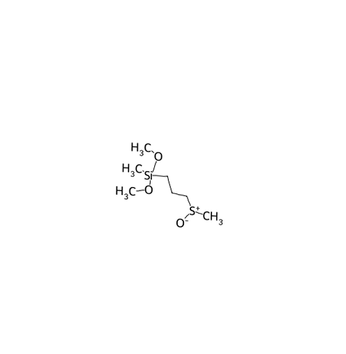 CO[Si](C)(CCC[S+](C)[O-])OC